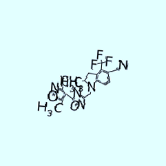 Cc1noc(C)c1-c1nc(CN2c3ccc(C#N)c(C(F)(F)F)c3CC2C)no1